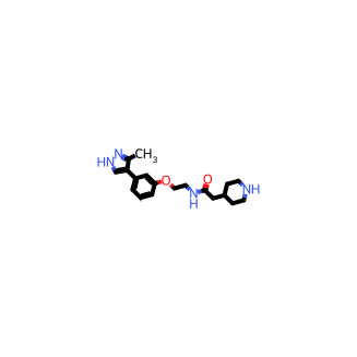 Cc1n[nH]cc1-c1c[c]cc(OCCNC(=O)CC2CCNCC2)c1